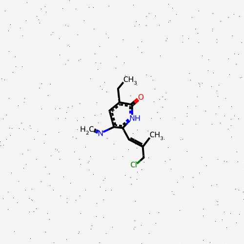 C=Nc1cc(CC)c(=O)[nH]c1/C=C(\C)CCl